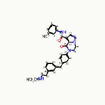 N#Cc1cccc(NC(=O)c2cnn3c2C(=O)N(c2ccc(Cc4cccc(CCNC(=O)O)c4)cc2)CC3)c1